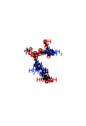 CC(C)(C)C(=O)OCOP(=O)(COCCn1cnc2c(N)ncnc21)OCOC(=O)C(C)(C)C.Nc1nc2c(ncn2COCCO)c(=O)[nH]1.Nc1ncnc2c1ncn2[C@@H]1O[C@H](CO)[C@@H](O)[C@H]1O